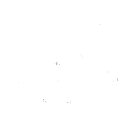 COc1ccccc1Oc1cc(F)ccc1NC(=O)C(=O)Nc1nc(C(N)S(C)(=O)=O)c(Sc2ccccn2)s1